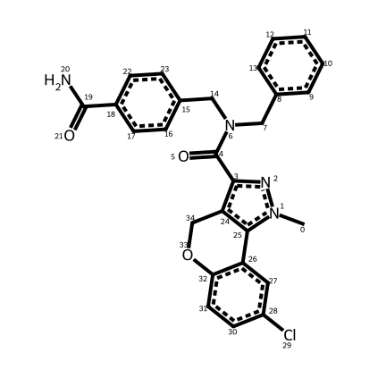 Cn1nc(C(=O)N(Cc2ccccc2)Cc2ccc(C(N)=O)cc2)c2c1-c1cc(Cl)ccc1OC2